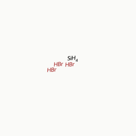 Br.Br.Br.[SiH4]